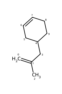 C=C(C)CC1CC=CCC1